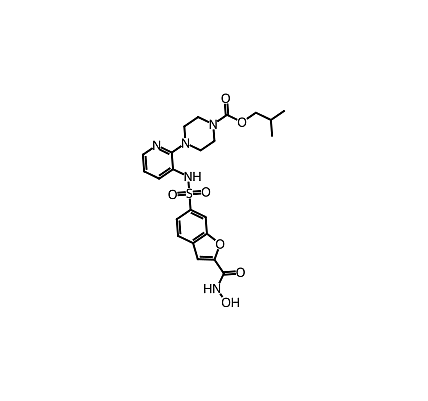 CC(C)COC(=O)N1CCN(c2ncccc2NS(=O)(=O)c2ccc3cc(C(=O)NO)oc3c2)CC1